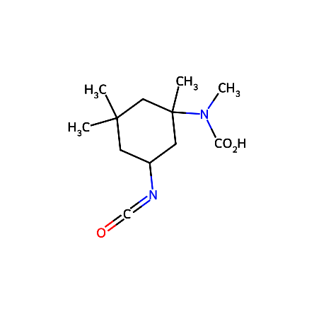 CN(C(=O)O)C1(C)CC(N=C=O)CC(C)(C)C1